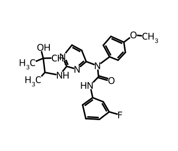 COc1ccc(N(C(=O)Nc2cccc(F)c2)c2ccnc(NC(C)C(C)(C)O)n2)cc1